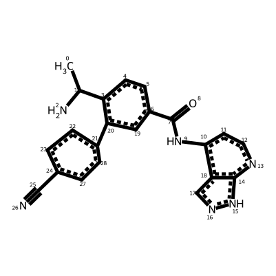 CC(N)c1ccc(C(=O)Nc2ccnc3[nH]ncc23)cc1-c1ccc(C#N)cc1